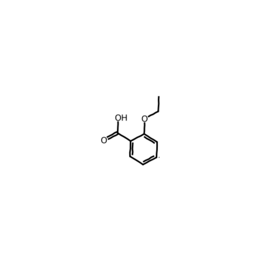 CCOc1c[c]ccc1C(=O)O